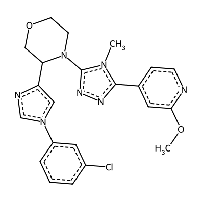 COc1cc(-c2nnc(N3CCOCC3c3cn(-c4cccc(Cl)c4)cn3)n2C)ccn1